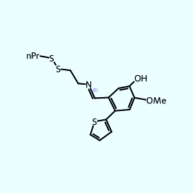 CCCSSCC/N=C/c1cc(O)c(OC)cc1-c1cccs1